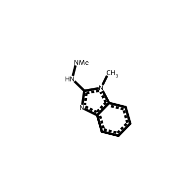 CNNc1nc2ccccc2n1C